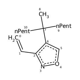 C=Cc1nocc1C(C)(CCCCC)CCCCC